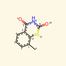 Cc1cccc2c(=O)[nH]c(=O)sc12